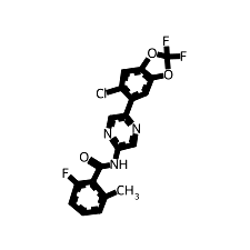 Cc1cccc(F)c1C(=O)Nc1cnc(-c2cc3c(cc2Cl)OC(F)(F)O3)cn1